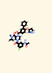 CC(=O)Nc1cc(F)cc(C(=O)N2CCN(C(=O)c3ccc(O[C@H]4CCNC4)c(C4CCCCC4)c3)C(C(=O)N(C)C(C)C)C2)c1